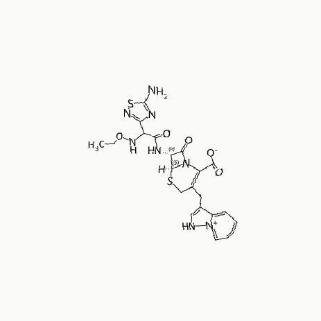 CCONC(C(=O)N[C@@H]1C(=O)N2C(C(=O)[O-])=C(Cc3c[nH][n+]4ccccc34)CS[C@@H]12)c1nsc(N)n1